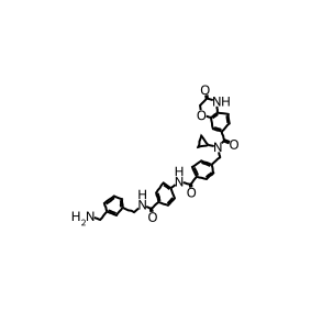 NCc1cccc(CNC(=O)c2ccc(NC(=O)c3ccc(CN(C(=O)c4ccc5c(c4)OCC(=O)N5)C4CC4)cc3)cc2)c1